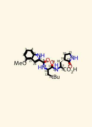 COc1cccc2[nH]c(C(=O)NC(CC(C)(C)C)C(=O)NC(C[C@@H]3CCNC3=O)C(=O)O)cc12